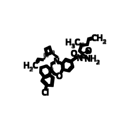 C=CC[C@H](C)C[S@](N)(=O)=NC(=O)c1ccc2c(c1)N(C[C@@H]1CC[C@H]1CC=C)C[C@@]1(CCCc3cc(Cl)ccc31)CO2